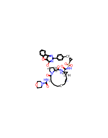 O=C1N[C@]2(C(=O)NS(=O)(=O)C3CC3)C[C@H]2/C=C\CCCCC[C@H](NC(=O)N2CCOCC2)C(=O)N2C[C@H](Oc3nc(-c4ccc(C(F)(F)F)cc4)nc4c3oc3ccccc34)C[C@@H]12